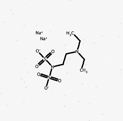 CCN(CC)CCN(S(=O)(=O)[O-])S(=O)(=O)[O-].[Na+].[Na+]